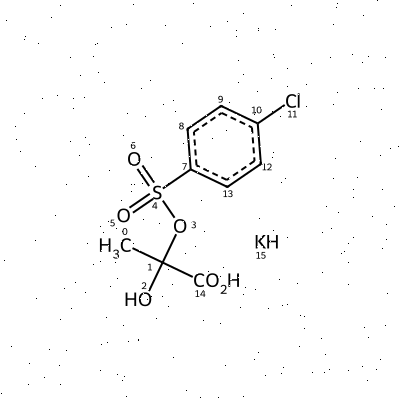 CC(O)(OS(=O)(=O)c1ccc(Cl)cc1)C(=O)O.[KH]